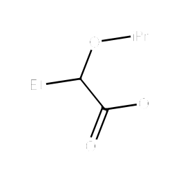 CCC(OC(C)C)C([O])=O